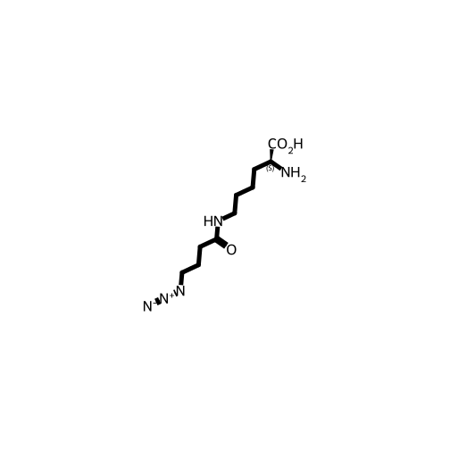 [N-]=[N+]=NCCCC(=O)NCCCC[C@H](N)C(=O)O